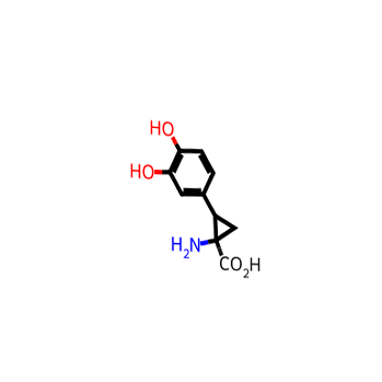 NC1(C(=O)O)CC1c1ccc(O)c(O)c1